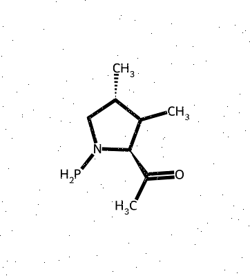 CC(=O)[C@@H]1C(C)[C@@H](C)CN1P